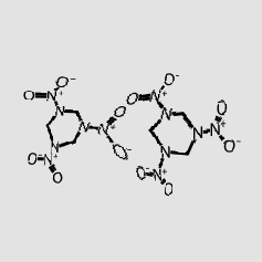 O=[N+]([O-])N1CN([N+](=O)[O-])CN([N+](=O)[O-])C1.O=[N+]([O-])N1CN([N+](=O)[O-])CN([N+](=O)[O-])C1